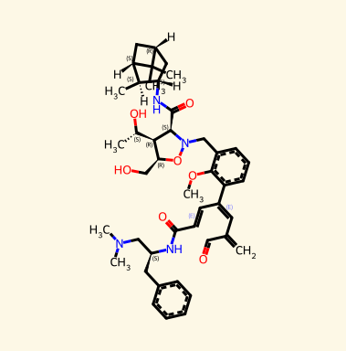 C=C(C=O)/C=C(\C=C\C(=O)N[C@@H](Cc1ccccc1)CN(C)C)c1cccc(CN2O[C@@H](CO)[C@@H]([C@H](C)O)[C@H]2C(=O)N[C@H]2C[C@H]3C[C@@H]([C@@H]2C)C3(C)C)c1OC